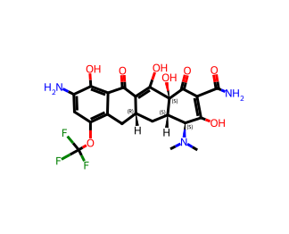 CN(C)[C@@H]1C(O)=C(C(N)=O)C(=O)[C@@]2(O)C(O)=C3C(=O)c4c(O)c(N)cc(OC(F)(F)F)c4C[C@H]3C[C@@H]12